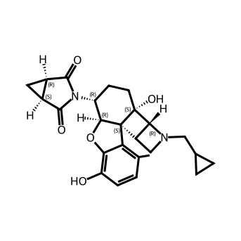 Cc1ccc(O)c2c1[C@]13C4CN(CC5CC5)[C@H]4[C@]1(O)CC[C@@H](N1C(=O)[C@H]4C[C@H]4C1=O)[C@@H]3O2